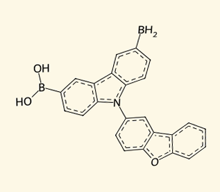 Bc1ccc2c(c1)c1cc(B(O)O)ccc1n2-c1ccc2oc3ccccc3c2c1